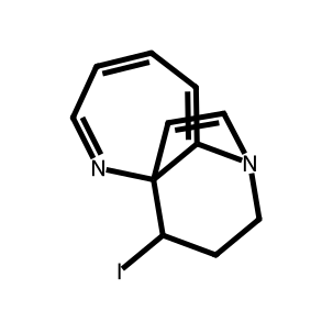 IC1CCN2C=CC13N=CC=CC=C23